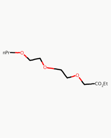 CCCOCCOCCOCC(=O)OCC